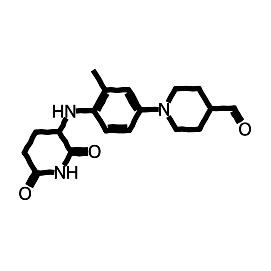 Cc1cc(N2CCC(C=O)CC2)ccc1NC1CCC(=O)NC1=O